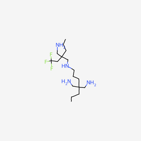 CCCC(CN)(CN)CCCNCC(CN)(CCC)CC(F)(F)F